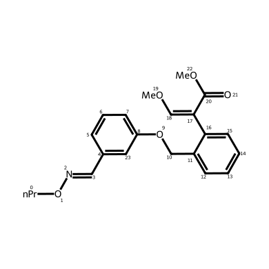 CCCO/N=C/c1cccc(OCc2ccccc2/C(=C/OC)C(=O)OC)c1